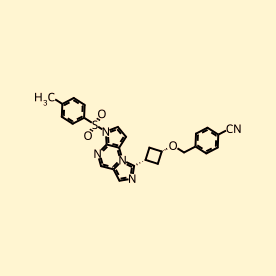 Cc1ccc(S(=O)(=O)n2ccc3c2ncc2cnc([C@H]4C[C@@H](OCc5ccc(C#N)cc5)C4)n23)cc1